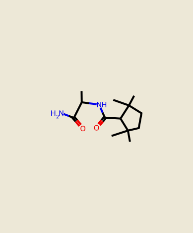 CC(NC(=O)C1C(C)(C)CCC1(C)C)C(N)=O